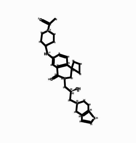 CC(=O)N1CCC(Nc2ccc3c(c2)C(=O)N(C[C@H](O)CN2CCc4sccc4C2)CC32CCC2)CC1